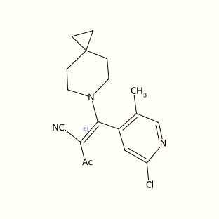 CC(=O)/C(C#N)=C(\c1cc(Cl)ncc1C)N1CCC2(CC1)CC2